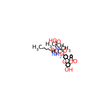 CCCCCCOP(N)ON(CC(C)(C)C(=O)O)CC(C)(C)C(=O)Oc1ccc2c(c1)Oc1cc(O)ccc1C21OC(=O)c2ccccc21